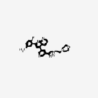 Cc1ccc(F)c(-c2cc(-c3cncc(-c4cn(CCN5CCOCC5)nn4)c3)c3cccnc3n2)c1